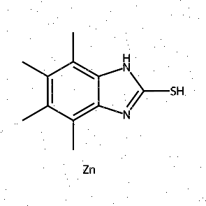 Cc1c(C)c(C)c2[nH]c(S)nc2c1C.[Zn]